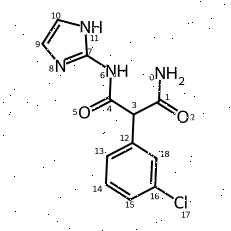 NC(=O)C(C(=O)Nc1ncc[nH]1)c1cccc(Cl)c1